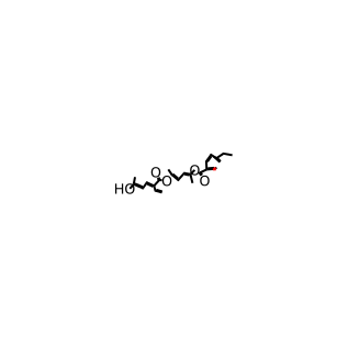 C=C/C(=C\C=C(/C)O)C(=O)O/C(C)=C/C=C(\C)OC(=O)C(/C=C\C(=C)CC)=C/C